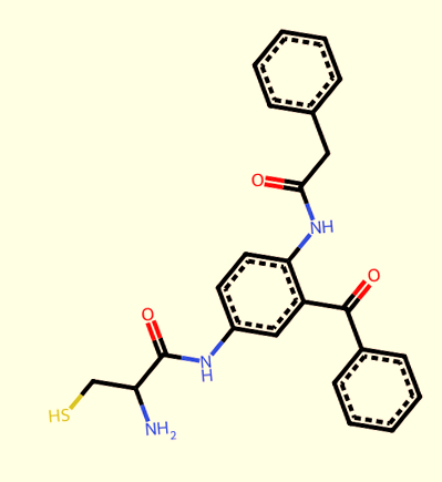 NC(CS)C(=O)Nc1ccc(NC(=O)Cc2ccccc2)c(C(=O)c2ccccc2)c1